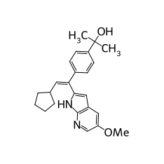 COc1cnc2[nH]c(/C(=C\C3CCCC3)c3ccc(C(C)(C)O)cc3)cc2c1